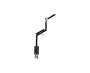 CS/C=C/C#N